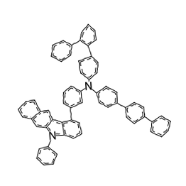 c1ccc(-c2ccc(-c3ccc(N(c4ccc(-c5ccccc5-c5ccccc5)cc4)c4cccc(-c5cccc6c5c5cc7ccccc7cc5n6-c5ccccc5)c4)cc3)cc2)cc1